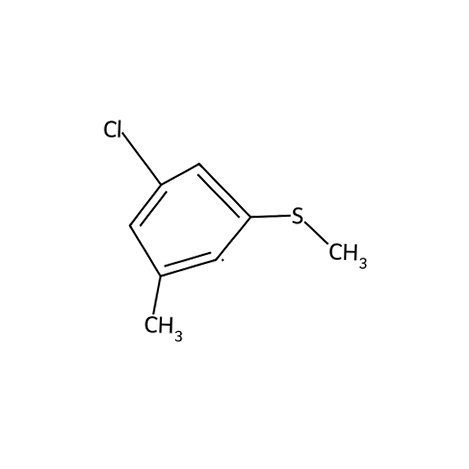 CSc1[c]c(C)cc(Cl)c1